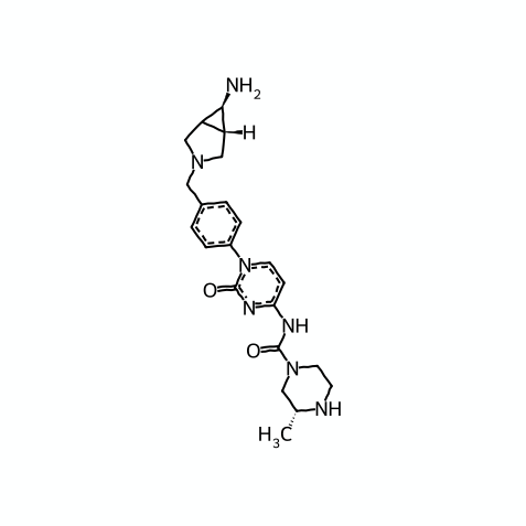 C[C@@H]1CN(C(=O)Nc2ccn(-c3ccc(CN4CC5[C@@H](N)[C@@H]5C4)cc3)c(=O)n2)CCN1